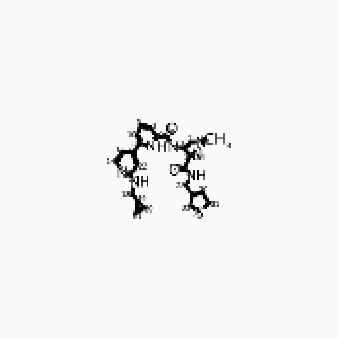 Cn1cc(NC(=O)c2cccc(-c3ccnc(NCC4CC4)c3)n2)c(C(=O)NCC2CCSC2)n1